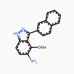 COc1c(N)ccc2[nH]nc(-c3ccc4ccccc4c3)c12